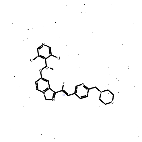 C[C@@H](Oc1ccc2c(c1)C(/C(F)=C/c1ccc(CN3CCOCC3)nc1)=NC2)c1c(Cl)cncc1Cl